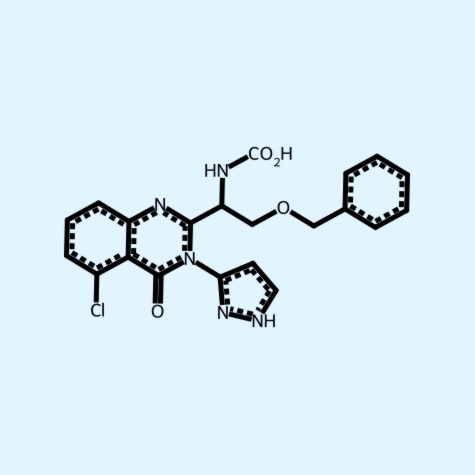 O=C(O)NC(COCc1ccccc1)c1nc2cccc(Cl)c2c(=O)n1-c1cc[nH]n1